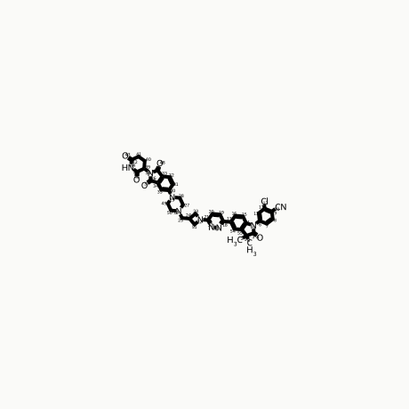 CC1(C)C(=O)N(c2ccc(C#N)c(Cl)c2)c2ccc(-c3ccc(N4CC(CN5CCN(c6ccc7c(c6)C(=O)N(C6CCC(=O)NC6=O)C7=O)CC5)C4)nn3)cc21